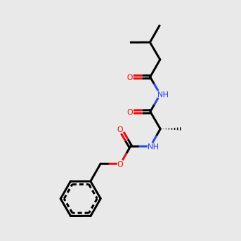 CC(C)CC(=O)NC(=O)[C@H](C)NC(=O)OCc1ccccc1